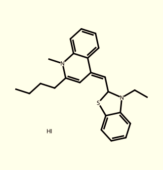 CCCCC1=CC(=CC2Sc3ccccc3N2CC)c2ccccc2N1C.I